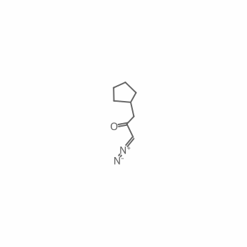 [N-]=[N+]=CC(=O)CC1CCCC1